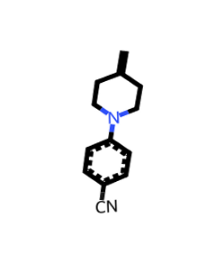 C=C1CCN(c2ccc(C#N)cc2)CC1